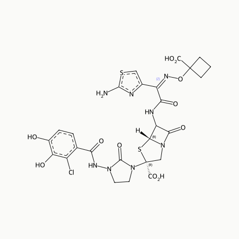 Nc1nc(/C(=N/OC2(C(=O)O)CCC2)C(=O)NC2C(=O)N3C[C@@](C(=O)O)(N4CCN(NC(=O)c5ccc(O)c(O)c5Cl)C4=O)S[C@H]23)cs1